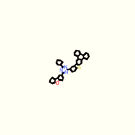 c1ccc(-c2nc(-c3ccc4oc5ccccc5c4c3)nc(-c3ccc4sc5cc6c7ccccc7c7ccccc7c6cc5c4c3)n2)cc1